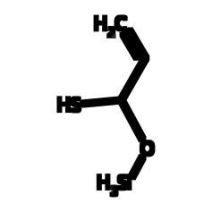 C=CC(S)O[SiH3]